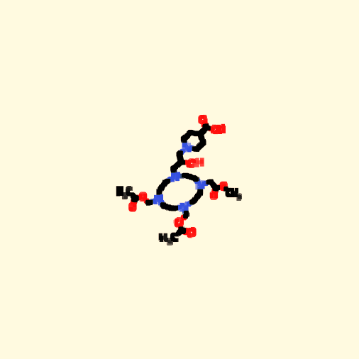 COC(=O)CN1CCN(COC(C)=O)CCN(COC(C)=O)CCN(CC(O)CN2CCC(C(=O)O)CC2)CC1